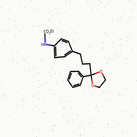 CCOC(=O)Nc1ccc(CCCC2(c3ccccc3)OCCO2)cc1